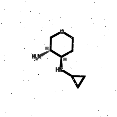 N[C@@H]1COCC[C@H]1NC1CC1